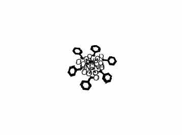 O=C(OP1(OC(=O)c2ccccc2)=N[PH](OC(=O)c2ccccc2)(OC(=O)c2ccccc2)N[PH](OC(=O)c2ccccc2)(OC(=O)c2ccccc2)N1)c1ccccc1